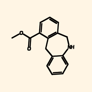 COC(=O)c1cccc2c1Cc1ccccc1NC2